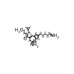 CCCN(CC1CC1)C(=O)C1=Cc2sc(CCCCCN)cc2N=C(N)C1